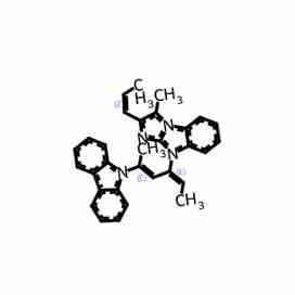 C/C=C\c1nc2n(C(/C=C(\C)n3c4ccccc4c4ccccc43)=C/C)c3ccccc3n2c1C